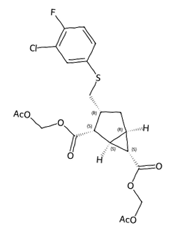 CC(=O)OCOC(=O)[C@@H]1[C@H](CSc2ccc(F)c(Cl)c2)C[C@H]2[C@H](C(=O)OCOC(C)=O)[C@H]21